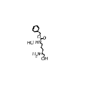 Cl.N[C@@H](CO)CCCNC(=O)OCc1ccccc1